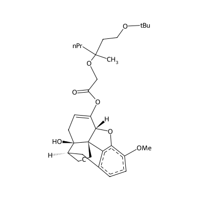 CCCC(C)(CCOC(C)(C)C)OCC(=O)OC1=CC[C@@]2(O)[C@@H]3CCC[C@@]24c2c(ccc(OC)c2O[C@@H]14)C3